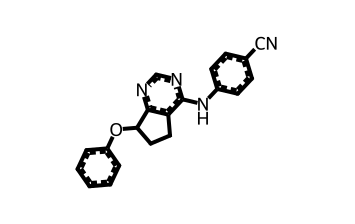 N#Cc1ccc(Nc2ncnc3c2CCC3Oc2ccccc2)cc1